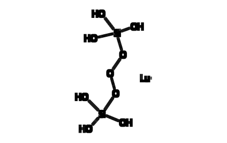 O[Si](O)(O)OOO[Si](O)(O)O.[Lu]